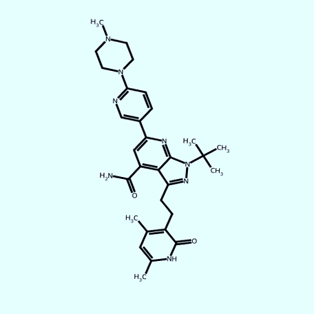 Cc1cc(C)c(CCc2nn(C(C)(C)C)c3nc(-c4ccc(N5CCN(C)CC5)nc4)cc(C(N)=O)c23)c(=O)[nH]1